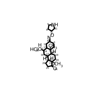 C[C@]12CCC(=NO[C@@H]3CCNC3)CC1C(O)C[C@@H]1[C@H]2CC[C@]2(C)C(=O)CC[C@@H]12.Cl